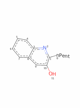 CCCCCc1nc2ccccc2cc1O